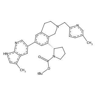 Cc1ccc(CN2CCc3cc(-c4cnc5[nH]cc(C)c5c4)cc([C@@H]4CCCN4C(=O)OC(C)(C)C)c3C2)nc1